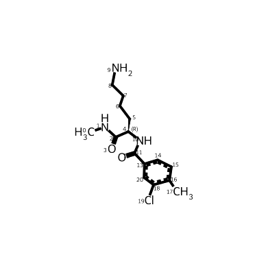 CNC(=O)[C@@H](CCCCN)NC(=O)c1ccc(C)c(Cl)c1